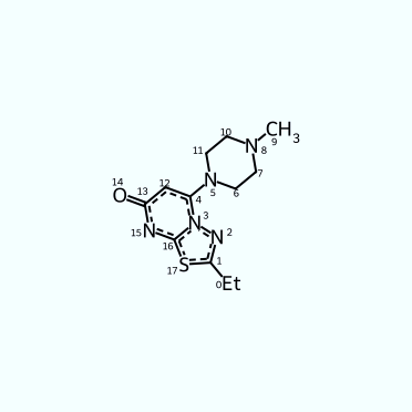 CCc1nn2c(N3CCN(C)CC3)cc(=O)nc2s1